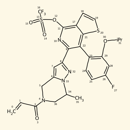 C=CC(=O)N1Cc2cc(-c3nc(OS(=O)(=O)C(F)(F)F)c4ccsc4c3-c3ccc(F)cc3OC(C)C)nn2C(C)C1